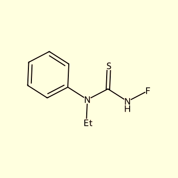 CCN(C(=S)NF)c1ccccc1